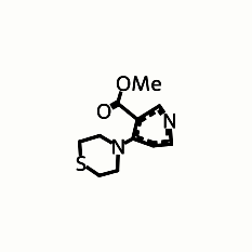 COC(=O)c1cnccc1N1CCSCC1